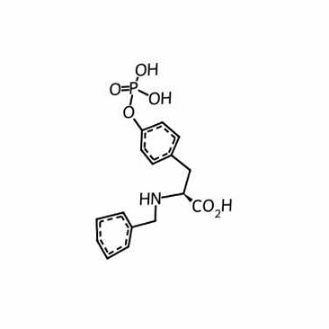 O=C(O)[C@H](Cc1ccc(OP(=O)(O)O)cc1)NCc1ccccc1